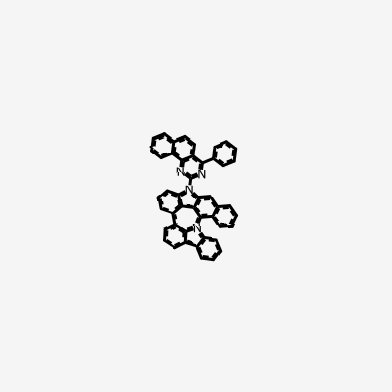 c1ccc(-c2nc(-n3c4cccc5c6cccc7c8ccccc8n(c67)c6c7ccccc7cc3c6c54)nc3c2ccc2ccccc23)cc1